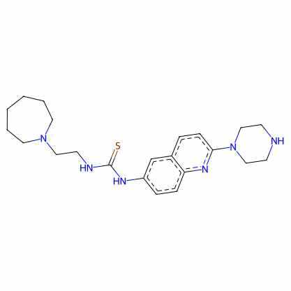 S=C(NCCN1CCCCCC1)Nc1ccc2nc(N3CCNCC3)ccc2c1